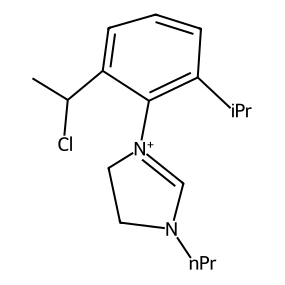 CCCN1C=[N+](c2c(C(C)C)cccc2C(C)Cl)CC1